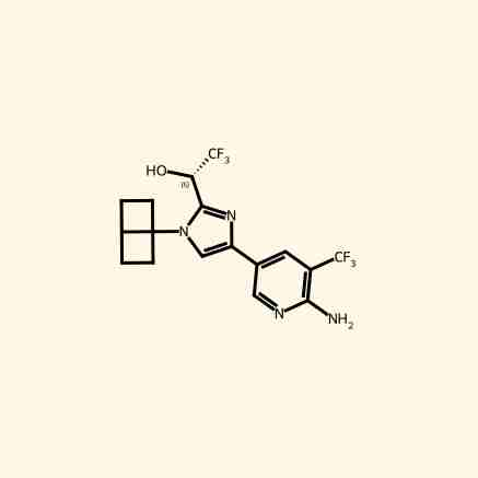 Nc1ncc(-c2cn(C34CCC3CC4)c([C@H](O)C(F)(F)F)n2)cc1C(F)(F)F